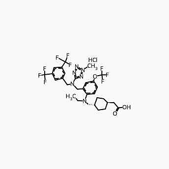 CCN(C[C@H]1CC[C@H](CC(=O)O)CC1)c1ccc(OC(F)(F)F)cc1CN(Cc1cc(C(F)(F)F)cc(C(F)(F)F)c1)c1nnn(C)n1.Cl